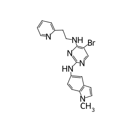 Cn1ccc2cc(Nc3ncc(Br)c(NCCc4ccccn4)n3)ccc21